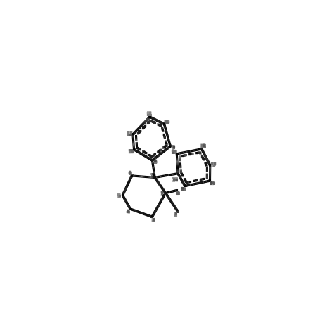 CC1(C)CCCCC1(c1ccccc1)c1ccccc1